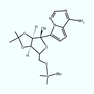 CC1(C)O[C@@H]2C(CO[Si](C)(C)C(C)(C)C)O[C@@](C#N)(c3ccc4c(N)ncnn34)[C@@H]2O1